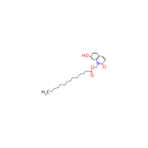 CCCCCCCCCCCCCC(=O)OCn1c(=O)ccc2ccc(O)cc21